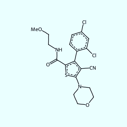 COCCNC(=O)c1sc(N2CCOCC2)c(C#N)c1-c1ccc(Cl)cc1Cl